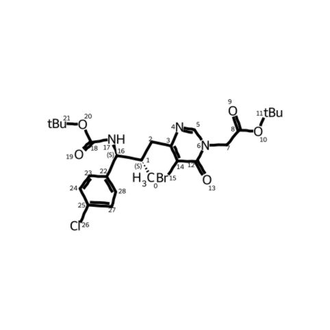 C[C@@H](Cc1ncn(CC(=O)OC(C)(C)C)c(=O)c1Br)[C@H](NC(=O)OC(C)(C)C)c1ccc(Cl)cc1